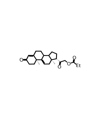 CCC(=O)OCC(=O)[C@H]1CCC2C3CCC4=CC(=O)CC[C@]4(C)C3=CC[C@@]21C